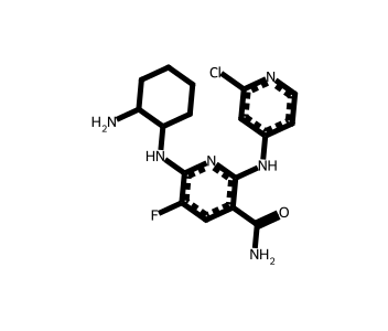 NC(=O)c1cc(F)c(NC2CCCCC2N)nc1Nc1ccnc(Cl)c1